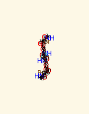 CC(C)NC(=O)C(Br)CC(C)(C)C(=O)OCCOCCNC(=O)C(F)C(F)C(=O)NCCOCCOC(=O)C(C)(C)CC(Br)C(=O)NC(C)C